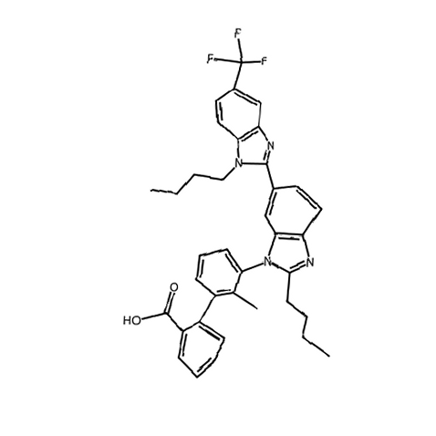 CCCCc1nc2ccc(-c3nc4cc(C(F)(F)F)ccc4n3CCCC)cc2n1-c1cccc(-c2ccccc2C(=O)O)c1C